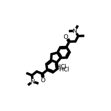 CC(CC(=O)c1ccc2c(c1)Cc1cc(C(=O)CC(C)N(C)C)ccc1-2)N(C)C.Cl.Cl